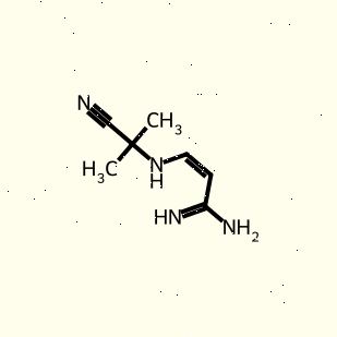 CC(C)(C#N)N/C=C\C(=N)N